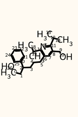 CCC(CCCc1cc(CO)c(C(C)C)nc1C(C)C)c1ccccc1O